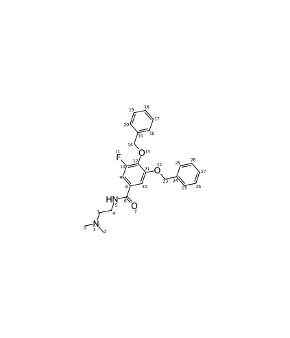 CN(C)CCNC(=O)c1cc(F)c(OCc2ccccc2)c(OCc2ccccc2)c1